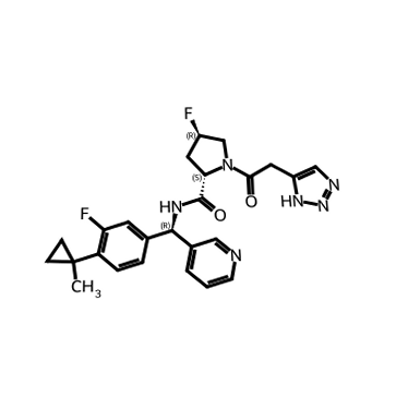 CC1(c2ccc([C@@H](NC(=O)[C@@H]3C[C@@H](F)CN3C(=O)Cc3cnn[nH]3)c3cccnc3)cc2F)CC1